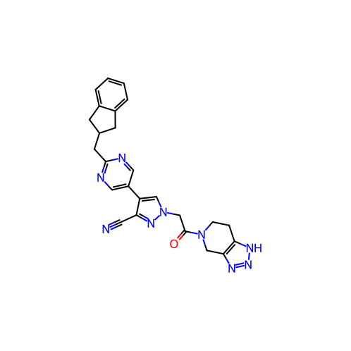 N#Cc1nn(CC(=O)N2CCc3[nH]nnc3C2)cc1-c1cnc(CC2Cc3ccccc3C2)nc1